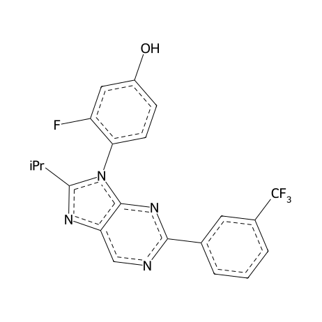 CC(C)c1nc2cnc(-c3cccc(C(F)(F)F)c3)nc2n1-c1ccc(O)cc1F